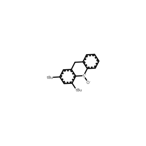 CC(C)(C)c1cc2c(c(C(C)(C)C)c1)[S+]([O-])c1ccccc1C2